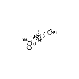 CCCCc1cc2ccccc2c(OCC[N+](C)(C)[C@H]2CCC(Cc3ccc(CC)nc3)C[C@@]2(O)C(N)=O)n1